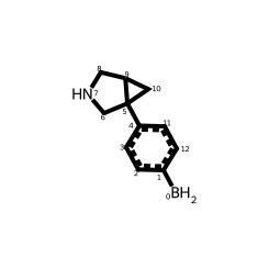 Bc1ccc(C23CNCC2C3)cc1